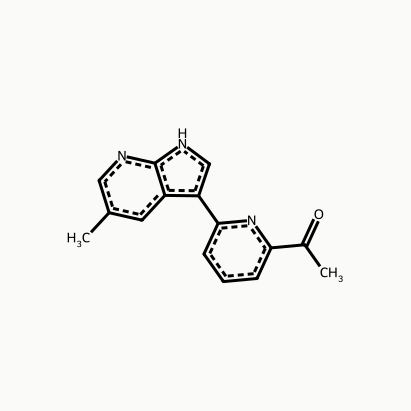 CC(=O)c1cccc(-c2c[nH]c3ncc(C)cc23)n1